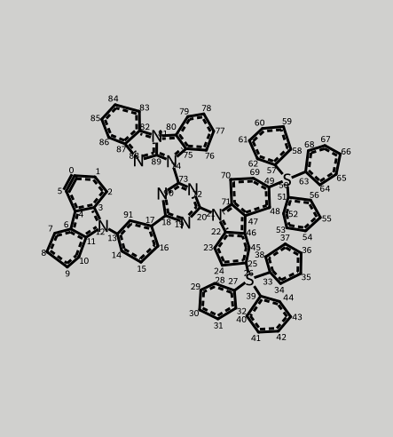 c1ccc2c(c#1)c1ccccc1n2-c1cccc(-c2nc(-n3c4ccc(S(c5ccccc5)(c5ccccc5)c5ccccc5)cc4c4cc(S(c5ccccc5)(c5ccccc5)c5ccccc5)ccc43)nc(-n3c4ccccc4n4c5ccccc5nc34)n2)c1